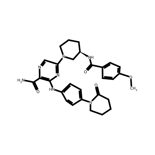 COc1ccc(C(=O)N[C@@H]2CCCN(c3cnc(C(N)=O)c(Nc4ccc(N5CCCCC5=O)cc4)n3)C2)cc1